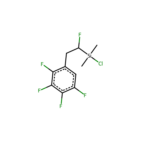 C[Si](C)(Cl)C(F)Cc1cc(F)c(F)c(F)c1F